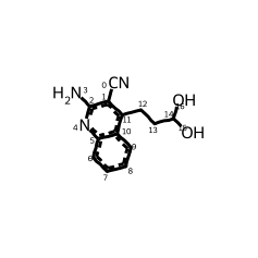 N#Cc1c(N)nc2ccccc2c1CCC(O)O